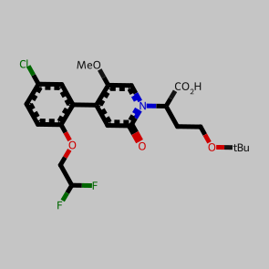 COc1cn(C(CCOC(C)(C)C)C(=O)O)c(=O)cc1-c1cc(Cl)ccc1OCC(F)F